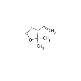 C=CC1COOC1(C)C